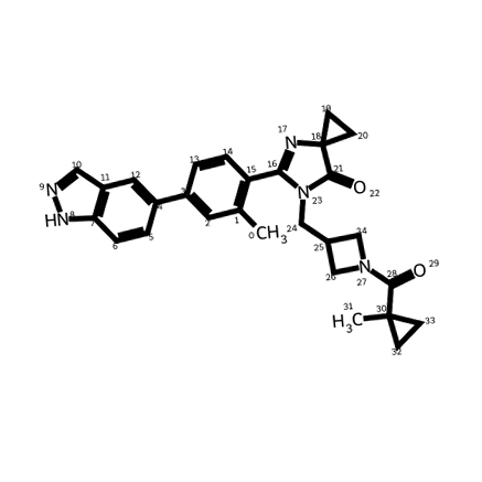 Cc1cc(-c2ccc3[nH]ncc3c2)ccc1C1=NC2(CC2)C(=O)N1CC1CN(C(=O)C2(C)CC2)C1